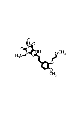 CCn1c(=O)c2[nH]c(C=Cc3ccc(OC)c(OCCOC)c3)nc2n(CC)c1=O